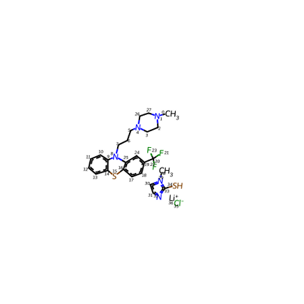 CN1CCN(CCCN2c3ccccc3Sc3ccc(C(F)(F)F)cc32)CC1.Cn1ccnc1S.[Cl-].[Li+]